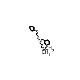 CN(C)CCCN(CCCSc1ccccc1)Cc1ccccc1